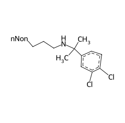 CCCCCCCCCCCCNC(C)(C)c1ccc(Cl)c(Cl)c1